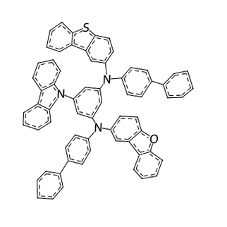 c1ccc(-c2ccc(N(c3cc(N(c4ccc(-c5ccccc5)cc4)c4ccc5sc6ccccc6c5c4)cc(-n4c5ccccc5c5ccccc54)c3)c3ccc4oc5ccccc5c4c3)cc2)cc1